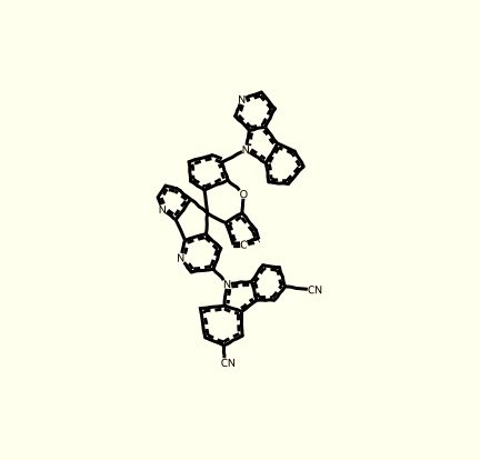 N#Cc1ccc2c(c1)c1cc(C#N)ccc1n2-c1cnc2c(c1)C1(c3ccccc3Oc3c(-n4c5ccccc5c5ccncc54)cccc31)c1cccnc1-2